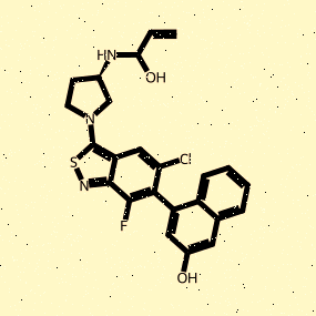 C=CC(O)N[C@@H]1CCN(c2snc3c(F)c(-c4cc(O)cc5ccccc45)c(Cl)cc23)C1